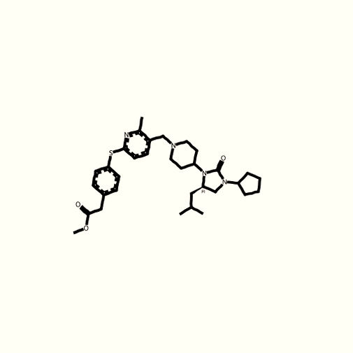 COC(=O)Cc1ccc(Sc2ccc(CN3CCC(N4C(=O)N(C5CCCC5)C[C@H]4CC(C)C)CC3)c(C)n2)cc1